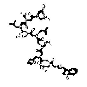 CC(C)CN(CC(=O)N(CN)CC(=O)N(CN)CC(=O)O)C(=O)CN(CN)C(=O)CN(CC(C)C)C(=O)CN(CN)C(=O)CN(Cc1ccco1)C(=O)CN(CN)C(=O)CNCCc1c[nH]c2ccccc12